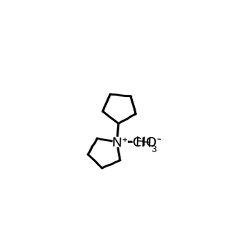 C[N+]1(C2CCCC2)CCCC1.[OH-]